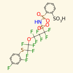 O=S(=O)(O)c1ccccc1S(=O)(=O)NS(=O)(=O)C(F)(F)C(F)(F)C(F)(F)OC(F)(F)C(F)(F)Sc1ccc(F)cc1F